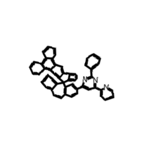 C1=Cc2ccc(-c3cc(-c4ccccn4)nc(-c4ccccc4)n3)cc2C2(c3ccccc31)c1ccccc1-c1cc3c4ccccc4c4ccccc4c3cc12